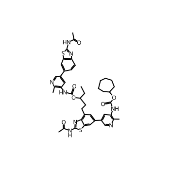 CCC(CCc1cc(-c2cnc(C)c(NC(=O)OC3CCCCCC3)c2)cc2sc(NC(C)=O)nc12)OC(=O)Nc1cc(-c2ccc3nc(NC(C)=O)sc3c2)cnc1C